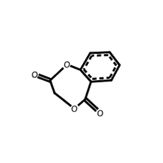 O=C1COC(=O)c2ccccc2O1